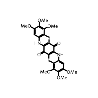 COc1cc2[nH]c3c(=O)c4sc5c(OC)c(OC)c(OC)cc5[nH]c4c(=O)c3sc2c(OC)c1OC